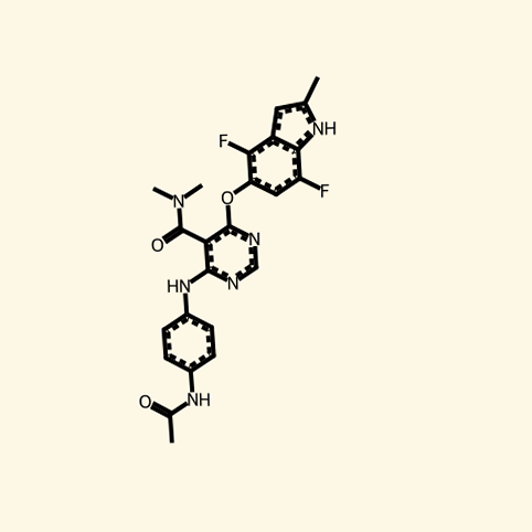 CC(=O)Nc1ccc(Nc2ncnc(Oc3cc(F)c4[nH]c(C)cc4c3F)c2C(=O)N(C)C)cc1